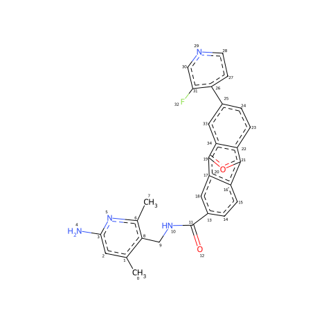 Cc1cc(N)nc(C)c1CNC(=O)c1ccc2c(c1)c1oc2c2ccc(-c3ccncc3F)cc21